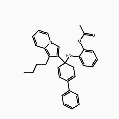 CCCCc1c(C2(Nc3ccccc3OC(C)=O)C=CC(c3ccccc3)=CC2)cn2ccccc12